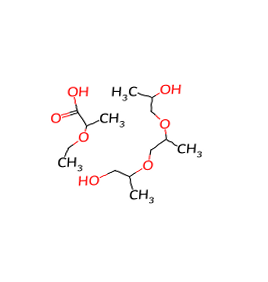 CC(O)COC(C)COC(C)CO.CCOC(C)C(=O)O